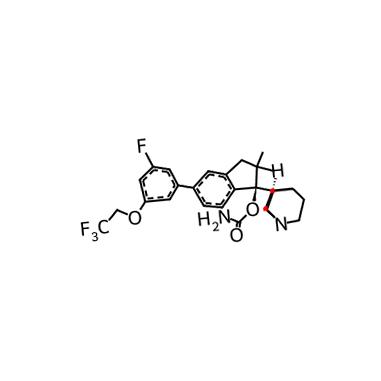 CC1(C)Cc2cc(-c3cc(F)cc(OCC(F)(F)F)c3)ccc2[C@@]1(OC(N)=O)[C@@H]1CN2CCC1CC2